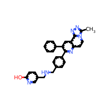 Cc1nnc2c3cc(-c4ccccc4)c(-c4ccc(CNCc5ccc(O)nc5)cc4)nc3ccn12